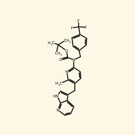 Cc1nc(N(Cc2ccc(C(F)(F)F)cc2)C(=O)OC(C)(C)C)ccc1Cc1c[nH]c2ncccc12